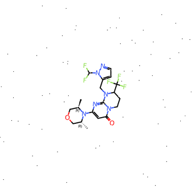 C[C@@H]1COC[C@@H](C)N1c1cc(=O)n2c(n1)N(Cc1ccnn1C(F)F)C(C(F)(F)F)CC2